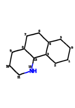 C1CCC2C(C1)CCC1CCCNC12